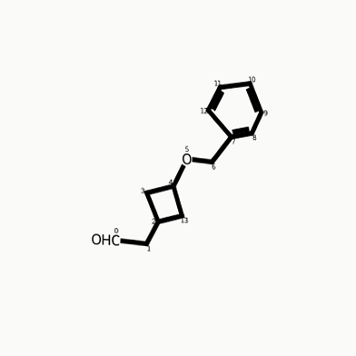 O=CCC1CC(OCc2ccccc2)C1